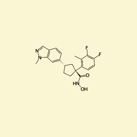 Cc1c([C@]2(C(=O)NO)CC[C@H](c3ccc4cnn(C)c4c3)C2)ccc(F)c1F